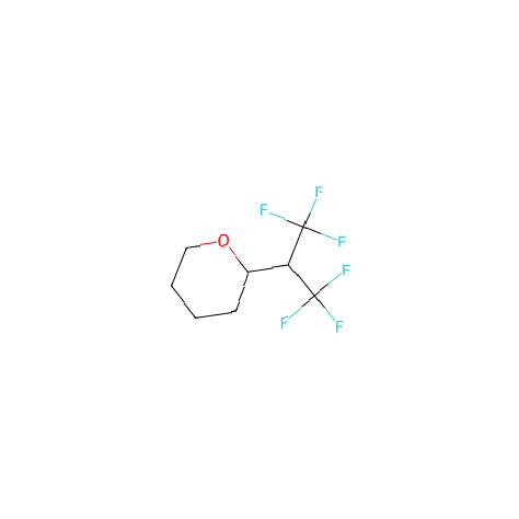 FC(F)(F)C(C1CCCCO1)C(F)(F)F